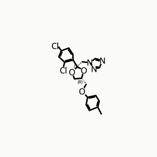 Cc1ccc(OC[C@@H]2CO[C@@](Cn3cncn3)(c3ccc(Cl)cc3Cl)O2)cc1